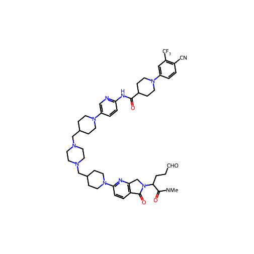 CNC(=O)C(CCC=O)N1Cc2nc(N3CCC(CN4CCN(CC5CCN(c6ccc(NC(=O)C7CCN(c8ccc(C#N)c(C(F)(F)F)c8)CC7)nc6)CC5)CC4)CC3)ccc2C1=O